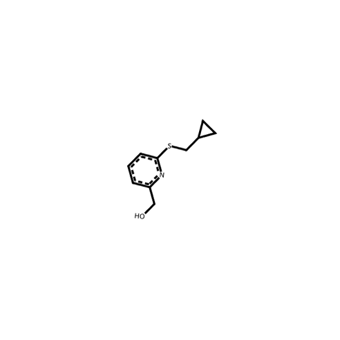 OCc1cccc(SCC2CC2)n1